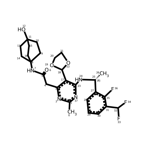 Cc1nc(CC(=O)NC23CCC(O)(CC2)CC3)c(C2OCCO2)c(N[C@H](C)c2cccc(C(F)F)c2F)n1